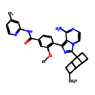 CCOc1cc(C(=O)Nc2cc(C(F)(F)F)ccn2)ccc1-c1nc(C23C4C5C2C2C3C4C52C(=O)O)n2ccnc(N)c12